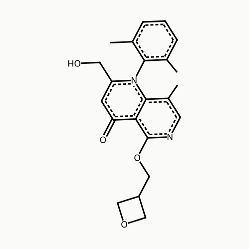 Cc1cccc(C)c1-n1c(CO)cc(=O)c2c(OCC3COC3)ncc(C)c21